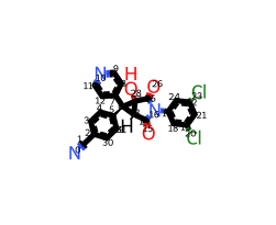 N#Cc1ccc([C@]2(c3ccncc3)[C@@H]3C(=O)N(c4cc(Cl)cc(Cl)c4)C(=O)C32O)cc1